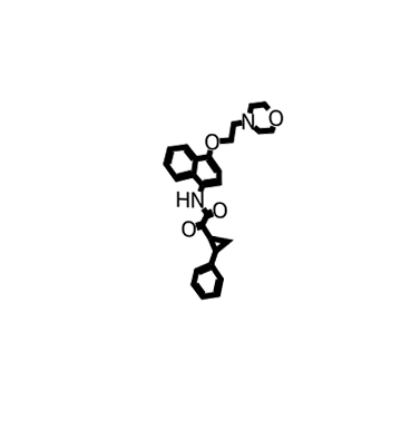 O=C(Nc1ccc(OCCN2CCOCC2)c2ccccc12)C(=O)C1CC1c1ccccc1